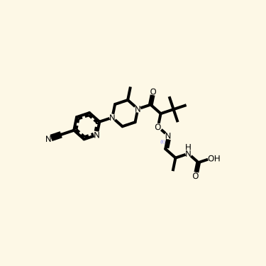 CC(/C=N/OC(C(=O)N1CCN(c2ccc(C#N)cn2)CC1C)C(C)(C)C)NC(=O)O